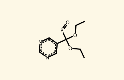 CCOC(OCC)(P=O)c1cncnc1